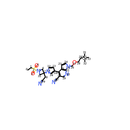 CCS(=O)(=O)N1CC(CC#N)(n2ccc(-c3c(C#N)cnc4c3ccn4COCC[Si](C)(C)C)c2)C1